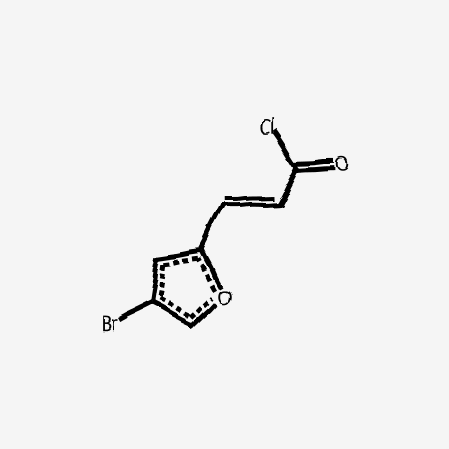 O=C(Cl)C=Cc1cc(Br)co1